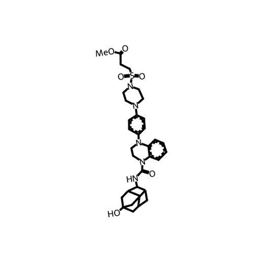 COC(=O)CCS(=O)(=O)N1CCN(c2ccc(N3CCN(C(=O)NC4C5CC6CC4CC(O)(C6)C5)c4ccccc43)cc2)CC1